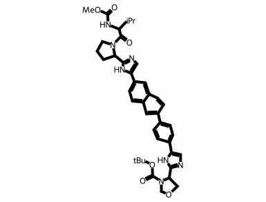 COC(=O)NC(C(=O)N1CCCC1c1ncc(-c2ccc3cc(-c4ccc(-c5cnc(C6COCN6C(=O)OC(C)(C)C)[nH]5)cc4)ccc3c2)[nH]1)C(C)C